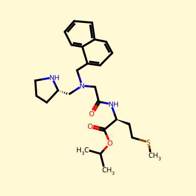 CSCC[C@H](NC(=O)CN(Cc1cccc2ccccc12)C[C@@H]1CCCN1)C(=O)OC(C)C